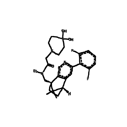 CCN(C[C@@]12CC[C@@H](c3cc(-c4c(F)cccc4F)nnc31)C2(C)C)C(=O)CN1CCS(O)(O)CC1